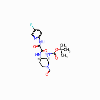 CC(C)(C)OC(=O)N[C@@H]1CN(C=O)CC[C@@H]1NC(=O)C(=O)Nc1ccc(F)cn1